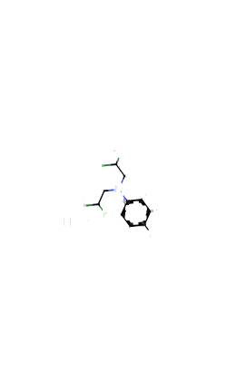 Cc1ccc(N(CC(Cl)Cl)CC(Cl)Cl)cc1.Cl